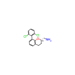 NC[C@@H]1CCc2cccc(-c3c(Cl)cccc3Cl)c2O1